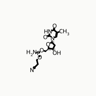 Cc1cn([C@H]2C[C@H](O)[C@@H](COP(N)OCCC#N)O2)c(=O)[nH]c1=O